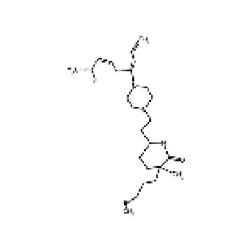 C=C/C=C(\C/C=C\C(C)F)N1CCN(CCC2CCC(C)(CCCNC)C(=O)N2)CC1